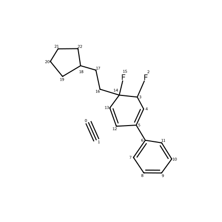 C#C.FC1C=C(c2ccccc2)C=CC1(F)CCC1CCCC1